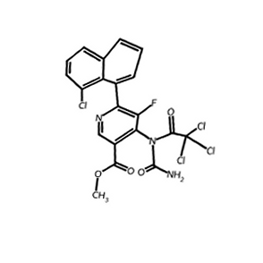 COC(=O)c1cnc(-c2cccc3cccc(Cl)c23)c(F)c1N(C(N)=O)C(=O)C(Cl)(Cl)Cl